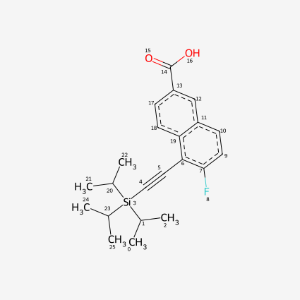 CC(C)[Si](C#Cc1c(F)ccc2cc(C(=O)O)ccc12)(C(C)C)C(C)C